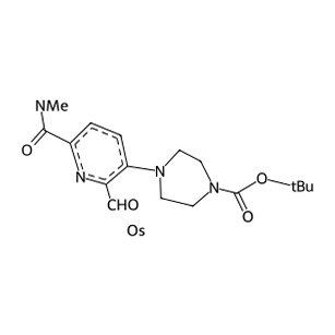 CNC(=O)c1ccc(N2CCN(C(=O)OC(C)(C)C)CC2)c(C=O)n1.[Os]